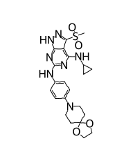 CS(=O)(=O)c1n[nH]c2nc(Nc3ccc(N4CCC5(CC4)OCCO5)cc3)nc(NC3CC3)c12